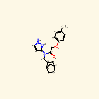 Cc1ccc(OCC(=O)N(CC2CC3CCC2C3)c2cc[nH]n2)cc1